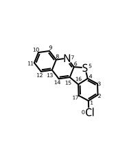 Clc1ccc2sc3nc4ccccc4cc3c2c1